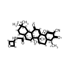 C[C@@H]1C(=O)C(C#N)=C[C@]2(C)C3=CC(=O)C4C5CC(C)(C)CC[C@]5(C(=O)NC5COC5)CC[C@@]4(C)[C@]3(C)CCC12